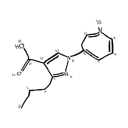 CCCc1nn(-c2cccnc2)cc1C(=O)O